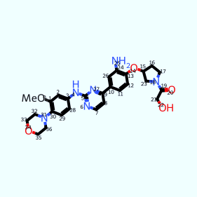 COc1cc(Nc2nccc(-c3ccc(OC4CCN(C(=O)CO)C4)c(N)c3)n2)ccc1N1CCOCC1